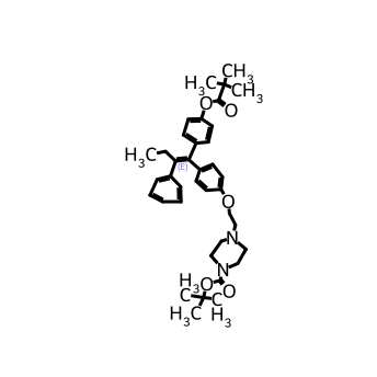 CC/C(=C(/c1ccc(OCCN2CCN(C(=O)OC(C)(C)C)CC2)cc1)c1ccc(OC(=O)C(C)(C)C)cc1)c1ccccc1